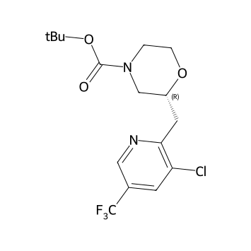 CC(C)(C)OC(=O)N1CCO[C@H](Cc2ncc(C(F)(F)F)cc2Cl)C1